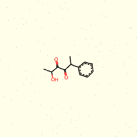 CC(O)C(=O)C(=O)C(C)c1ccccc1